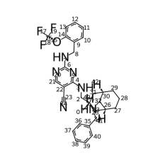 CC1(CNc2nc(NCc3ccccc3OC(F)(F)F)ncc2C#N)C[C@H]2CCC[C@@H](C1)[C@@H]2NCc1ccccc1